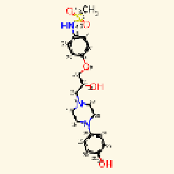 CS(=O)(=O)Nc1ccc(OC[C@@H](O)CN2CCN(c3ccc(O)cc3)CC2)cc1